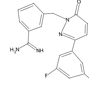 N=C(N)c1cccc(Cn2nc(-c3cc(F)cc(F)c3)ccc2=O)c1